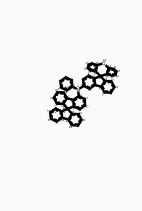 c1ccc(N(c2ccc3c(c2)-c2ccccc2C32c3ccccc3Oc3ccccc32)c2cccc3c2-c2ccccc2C32c3ccccc3-c3ccccc32)cc1